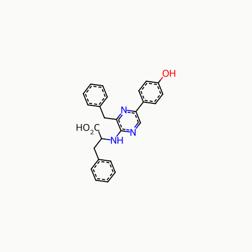 O=C(O)C(Cc1ccccc1)Nc1ncc(-c2ccc(O)cc2)nc1Cc1ccccc1